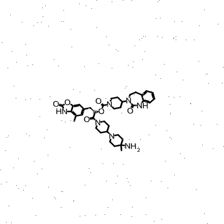 Cc1cc(C[C@@H](OC(=O)N2CCC(N3CCc4ccccc4NC3=O)CC2)C(=O)N2CCC(N3CCC(C)(N)CC3)CC2)cc2oc(=O)[nH]c12